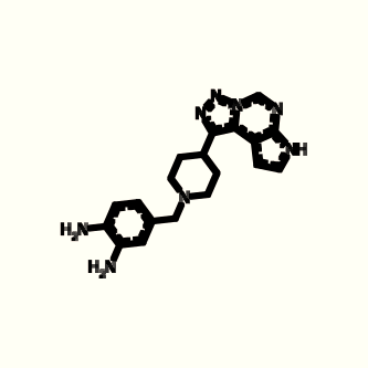 Nc1ccc(CN2CCC(c3nnn4cnc5[nH]ccc5c34)CC2)cc1N